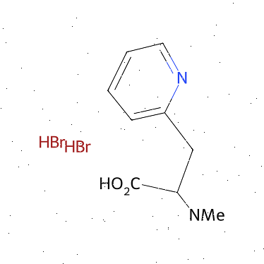 Br.Br.CNC(Cc1ccccn1)C(=O)O